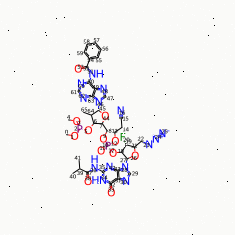 COP(OC)OC1C(COP(=O)(OCCC#N)OC2C(F)C(CN=[N+]=[N-])OC2n2cnc3c(=O)[nH]c(NC(=O)C(C)C)nc32)OC(n2cnc3c(NC(=O)c4ccccc4)ncnc32)C1C